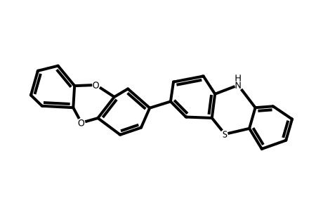 c1ccc2c(c1)Nc1ccc(-c3ccc4c(c3)Oc3ccccc3O4)cc1S2